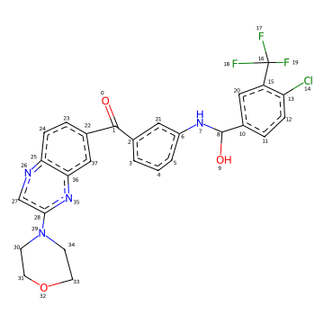 O=C(c1cccc(NC(O)c2ccc(Cl)c(C(F)(F)F)c2)c1)c1ccc2ncc(N3CCOCC3)nc2c1